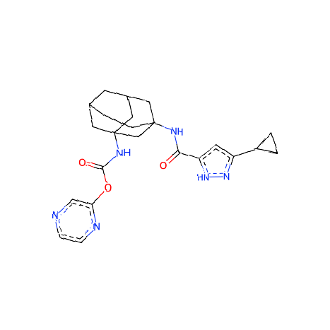 O=C(NC12CC3CC(C1)CC(NC(=O)c1cc(C4CC4)n[nH]1)(C3)C2)Oc1cnccn1